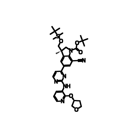 CC(C)(C)OC(=O)N1C[C@](C)(CO[Si](C)(C)C(C)(C)C)c2cc(-c3ccnc(Nc4cccnc4O[C@H]4CCOC4)n3)cc(C#N)c21